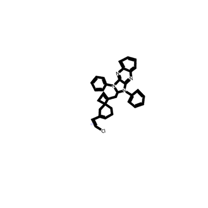 Cl/C=C\C1=CCCC2(CC=C2CC2N(c3ccccc3)c3nc4ccccc4nc3N2c2ccccc2)C1